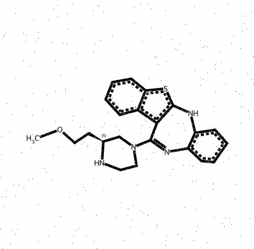 COCC[C@H]1CN(C2=Nc3ccccc3Nc3sc4ccccc4c32)CCN1